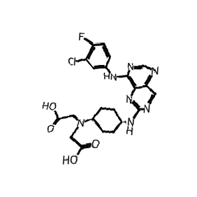 O=C(O)CN(CC(=O)O)[C@H]1CC[C@H](Nc2ncc3ncnc(Nc4ccc(F)c(Cl)c4)c3n2)CC1